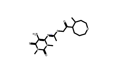 C/C(=N\c1c(N)c(=S)n(C)c(=O)n1C)SCC(=O)C1CCCOCCC1C